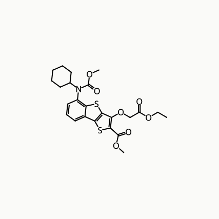 CCOC(=O)COc1c(C(=O)OC)sc2c1sc1c(N(C(=O)OC)C3CCCCC3)cccc12